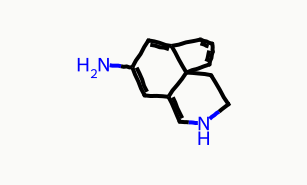 NC1=CC2=CNCCC23C=CC=CC3=C1